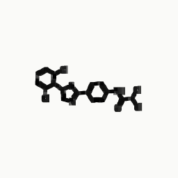 O=C(Nc1ccc(-c2ncc(-c3c(Cl)cccc3Cl)s2)cc1)C(Cl)Cl